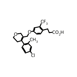 Cc1cc(Cl)ccc1C1=C(COc2ccc(CCC(=O)O)c(C(F)(F)F)c2)COCC1